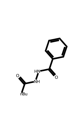 CCCCC(=O)NNC(=O)c1ccccc1